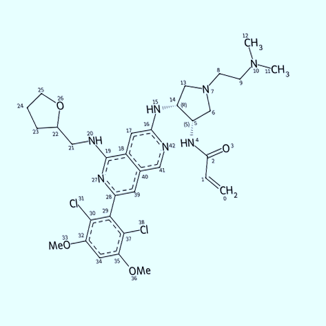 C=CC(=O)N[C@H]1CN(CCN(C)C)C[C@H]1Nc1cc2c(NCC3CCCO3)nc(-c3c(Cl)c(OC)cc(OC)c3Cl)cc2cn1